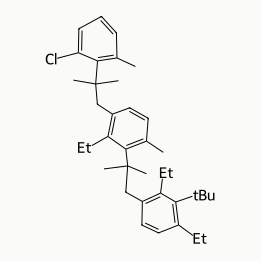 CCc1ccc(CC(C)(C)c2c(C)ccc(CC(C)(C)c3c(C)cccc3Cl)c2CC)c(CC)c1C(C)(C)C